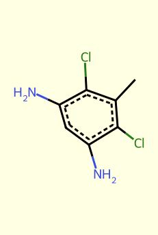 Cc1c(Cl)c(N)cc(N)c1Cl